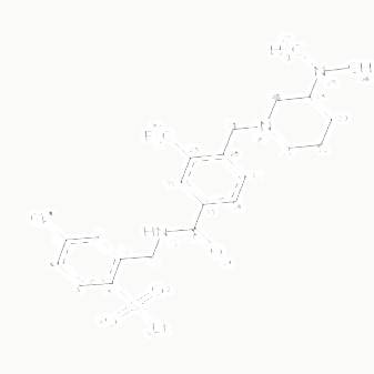 CCS(=O)(=O)c1ccc(Cl)cc1CNC(=O)c1ccc(CN2CCCC(N(C)C)C2)c(C(F)(F)F)c1